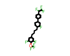 FC(F)=C(F)c1ccc(-c2ccc(CCCCc3cc(F)c(OC(F)(F)F)c(F)c3)c(F)c2)cc1